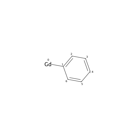 [Gd][c]1cc[c]cc1